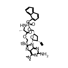 C#C[C@H]1C[C@@H](CO[P@](=O)(N[C@@H](C)C(=O)OCC(C)(C)C)Oc2cccc3ccccc23)O[C@H]1n1cnc2c(N(C)C)nc(N)nc21